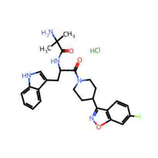 CC(C)(N)C(=O)NC(Cc1c[nH]c2ccccc12)C(=O)N1CCC(c2noc3cc(F)ccc23)CC1.Cl